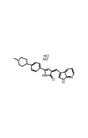 CN1CCN(c2ccc(C3=N/C(=C/c4c[nH]c5ncccc45)C(=O)N3)cc2)CC1.Cl.Cl